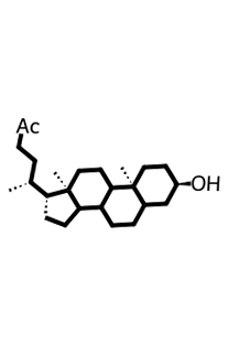 CC(=O)CC[C@@H](C)[C@H]1CCC2C3CCC4C[C@H](O)CC[C@]4(C)C3CC[C@@]21C